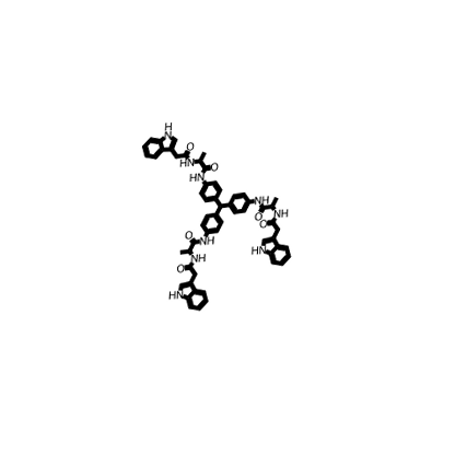 CC(NC(=O)Cc1c[nH]c2ccccc12)C(=O)Nc1ccc(C(c2ccc(NC(=O)C(C)NC(=O)Cc3c[nH]c4ccccc34)cc2)c2ccc(NC(=O)C(C)NC(=O)Cc3c[nH]c4ccccc34)cc2)cc1